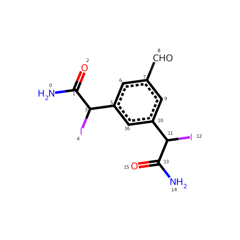 NC(=O)C(I)c1cc(C=O)cc(C(I)C(N)=O)c1